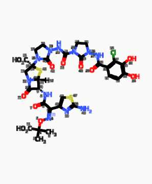 CC(C)(O/N=C(\C(=O)N[C@@H]1C(=O)N2C[C@@](C(=O)O)(N3CCN(NC(=O)N4CCN(NC(=O)c5ccc(O)c(O)c5Cl)C4=O)C3=O)S[C@H]12)c1csc(N)n1)C(=O)O